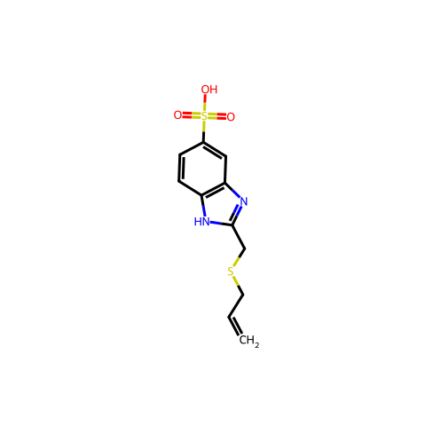 C=CCSCc1nc2cc(S(=O)(=O)O)ccc2[nH]1